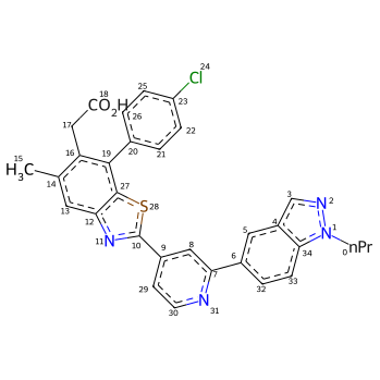 CCCn1ncc2cc(-c3cc(-c4nc5cc(C)c(CC(=O)O)c(-c6ccc(Cl)cc6)c5s4)ccn3)ccc21